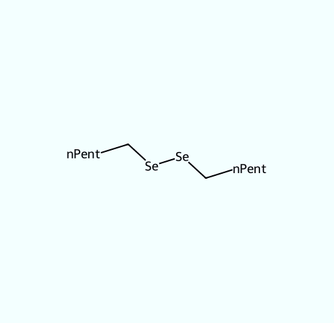 CCCCCC[Se][Se]CCCCCC